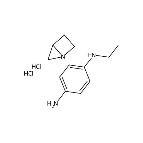 C1CN2CC12.CCNc1ccc(N)cc1.Cl.Cl